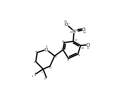 CC1(I)CCOC(c2ccc(Cl)c([N+](=O)[O-])c2)C1